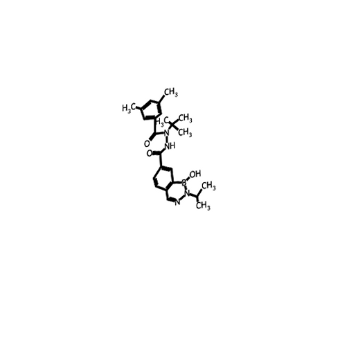 Cc1cc(C)cc(C(=O)N(NC(=O)c2ccc3c(c2)B(O)N(C(C)C)N=C3)C(C)(C)C)c1